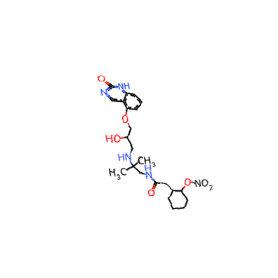 CC(C)(CNC(=O)CC1CCCCC1O[N+](=O)[O-])NCC(O)COc1cccc2[nH]c(=O)ncc12